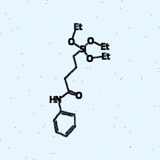 CCO[Si](CCCC(=O)Nc1ccccc1)(OCC)OCC